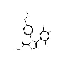 CCNCc1ccc(N2C(c3cc(C(C)C)c(O)cc3O)=CCC2C(=O)NC(C)C)cc1